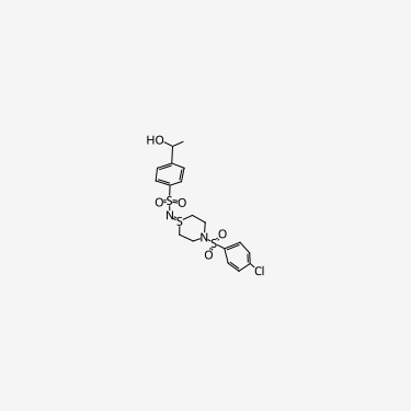 CC(O)c1ccc(S(=O)(=O)N=S2CCN(S(=O)(=O)c3ccc(Cl)cc3)CC2)cc1